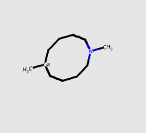 CN1CCC[CH2][Ga]([CH3])[CH2]CCC1